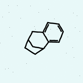 c1ccc2c(c1)CC1CC[C]2C1